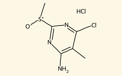 Cc1c(N)nc([S+](C)[O-])nc1Cl.Cl